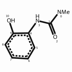 CNC(=O)Nc1[c]cccc1O